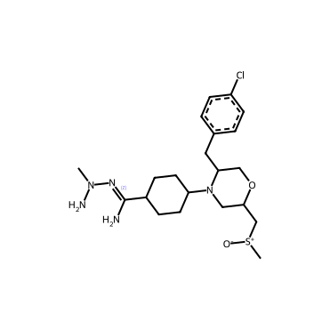 CN(N)/N=C(\N)C1CCC(N2CC(C[S+](C)[O-])OCC2Cc2ccc(Cl)cc2)CC1